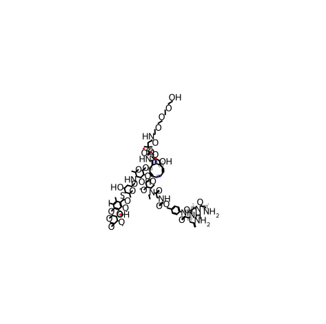 C=C(N)C[C@H](NC(=O)[C@H](C)NC(=O)[C@H](C)N)C(=O)Nc1ccc(COC(=O)NCC(=O)N(CC)C2COC(OC3C(O[C@H]4C#C/C=C\C#C[C@]5(O)CC(=O)C(NC(=O)OC)=C4/C5=C\CSSC(C)(C)CC(=O)NCCOCCOCCOCCO)OC(C)C(NOC4CC(O)C(SC(=O)c5c(C)c(I)c(OC6OC7OC7C(OC)C6O)c(OC)c5OC)C(C)O4)C3O)CC2OC)cc1